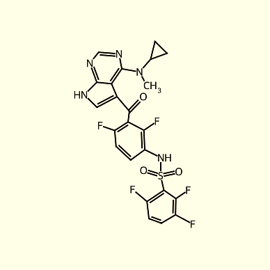 CN(c1ncnc2[nH]cc(C(=O)c3c(F)ccc(NS(=O)(=O)c4c(F)ccc(F)c4F)c3F)c12)C1CC1